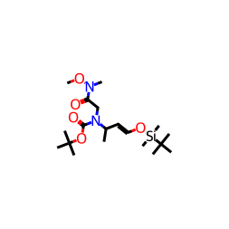 CON(C)C(=O)CN(C(=O)OC(C)(C)C)C(C)C=CO[Si](C)(C)C(C)(C)C